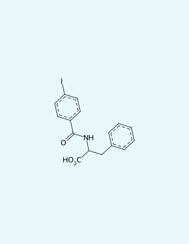 O=C(NC(Cc1ccccc1)C(=O)O)c1ccc(I)cc1